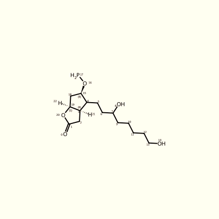 O=C1C[C@@H]2C(CCC(O)CCCCCO)[C@H](OP)C[C@@H]2O1